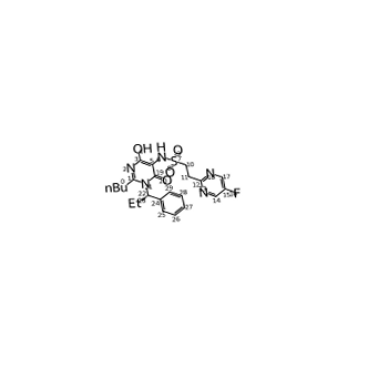 CCCCc1nc(O)c(NS(=O)(=O)CCc2ncc(F)cn2)c(=O)n1[C@H](CC)c1ccccc1